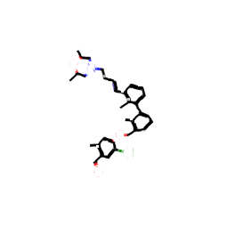 Cc1cc(OCc2cccc(-c3cccc(/C=C/CCN4CC(C)OC(C)C4)c3C)c2C)c(Cl)cc1C=O